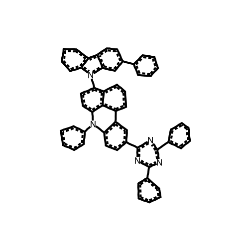 c1ccc(-c2ccc3c4ccccc4n(-c4ccc5c6c(cccc46)-c4cc(-c6nc(-c7ccccc7)nc(-c7ccccc7)n6)ccc4N5c4ccccc4)c3c2)cc1